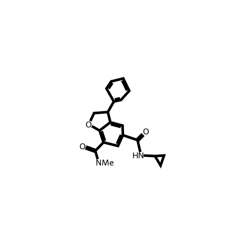 CNC(=O)c1cc(C(=O)NC2CC2)cc2c1OCC2c1ccccc1